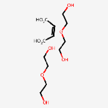 O=C(O)/C=C\C(=O)O.OCCOCCO.OCCOCCO